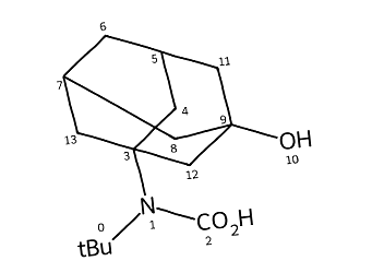 CC(C)(C)N(C(=O)O)C12CC3CC(CC(O)(C3)C1)C2